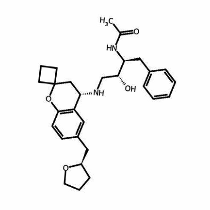 CC(=O)N[C@@H](Cc1ccccc1)[C@H](O)CN[C@H]1CC2(CCC2)Oc2ccc(C[C@H]3CCCO3)cc21